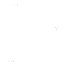 COCOc1cc(CN)ccc1CCO